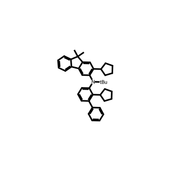 CC1(C)c2ccccc2-c2cc(N(c3cccc(-c4ccccc4)c3C3CCCC3)C(C)(C)C)c(C3CCCC3)cc21